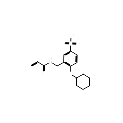 C=CC(=O)NCc1cc(S(=O)(=O)NC)ccc1NC1CCCCC1